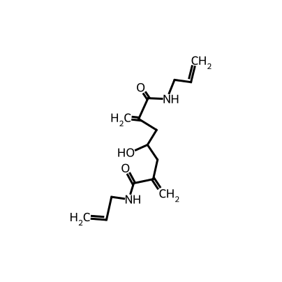 C=CCNC(=O)C(=C)CC(O)CC(=C)C(=O)NCC=C